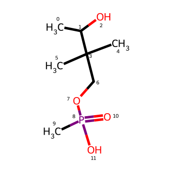 CC(O)C(C)(C)COP(C)(=O)O